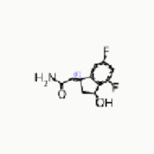 NC(=O)/C=C1\CC(O)c2c(F)cc(F)cc21